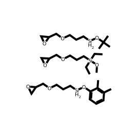 CC(C)(C)O[SiH2]CCCOCC1CO1.CC[Si](CC)(CCCOCC1CO1)OC.Cc1cccc(O[SiH2]CCCOCC2CO2)c1C